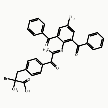 CC(=Nc1c(C(=O)c2ccccc2)cc(C)cc1C(=O)c1ccccc1)C(=O)c1ccc(CC(C)(Br)C(=O)O)cc1